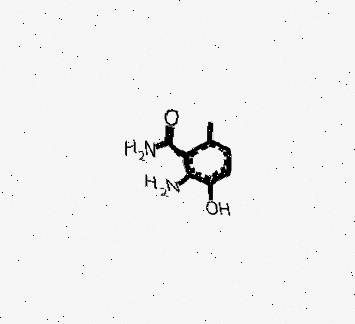 Cc1ccc(O)c(N)c1C(N)=O